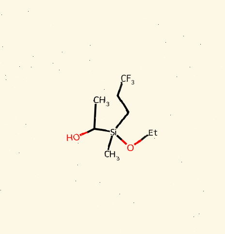 CCO[Si](C)(CCC(F)(F)F)C(C)O